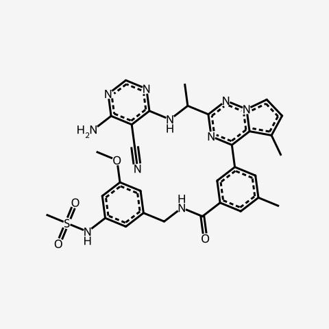 COc1cc(CNC(=O)c2cc(C)cc(-c3nc(C(C)Nc4ncnc(N)c4C#N)nn4ccc(C)c34)c2)cc(NS(C)(=O)=O)c1